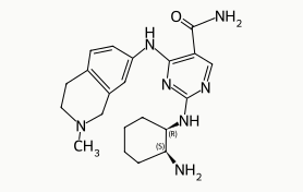 CN1CCc2ccc(Nc3nc(N[C@@H]4CCCC[C@@H]4N)ncc3C(N)=O)cc2C1